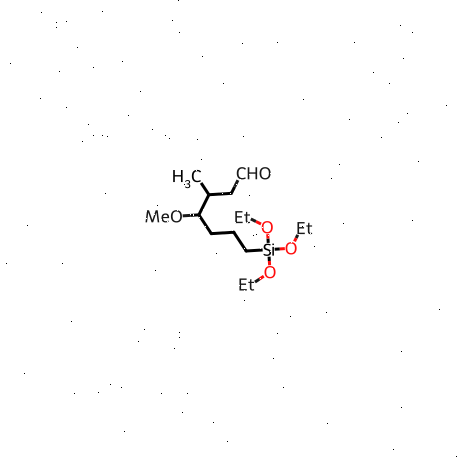 CCO[Si](CCCC(OC)C(C)CC=O)(OCC)OCC